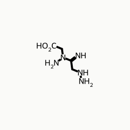 N=C(CNN)N(N)CC(=O)O